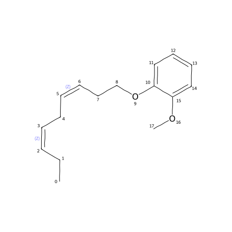 CC/C=C\C/C=C\CCOc1ccccc1OC